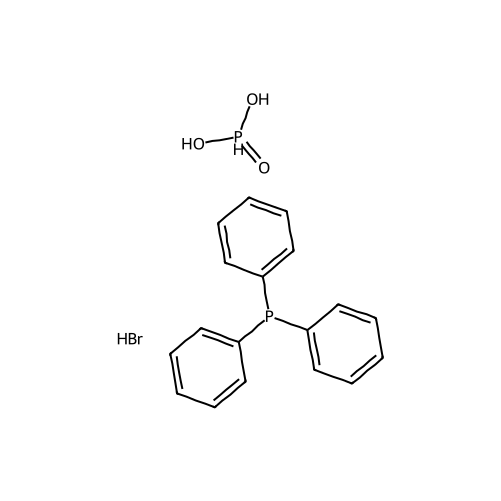 Br.O=[PH](O)O.c1ccc(P(c2ccccc2)c2ccccc2)cc1